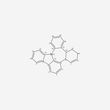 C1=CC2c3cccc4c5ccccc5n(c34)-c3ccccc3C2CC1